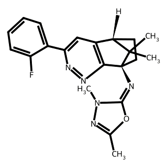 Cc1nn(C)/c(=N\[C@@]23CC[C@@H](c4cc(-c5ccccc5F)nnc42)C3(C)C)o1